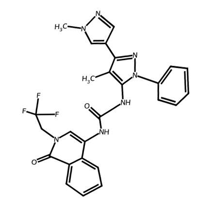 Cc1c(-c2cnn(C)c2)nn(-c2ccccc2)c1NC(=O)Nc1cn(CC(F)(F)F)c(=O)c2ccccc12